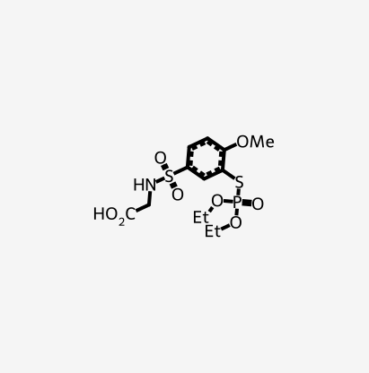 CCOP(=O)(OCC)Sc1cc(S(=O)(=O)NCC(=O)O)ccc1OC